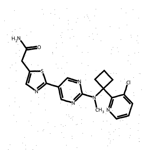 CN(c1ncc(-c2ncc(CC(N)=O)s2)cn1)C1(c2ncccc2Cl)CCC1